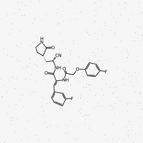 N#C[C@H](C[C@@H]1CCNC1=O)NC(=O)C(=Cc1cccc(F)c1)NC(=O)COc1ccc(F)cc1